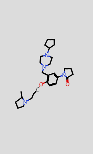 CC1CCCN1CCCOc1ccc(N2CCCC2=O)cc1CN1CCN(C2CCCC2)CC1